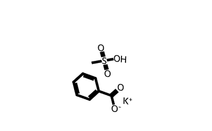 CS(=O)(=O)O.O=C([O-])c1ccccc1.[K+]